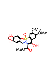 COC(=O)C1=C(O)c2cc(OC)c(OC)cc2S(=O)(=O)N1Cc1ccc2c(c1)OCO2